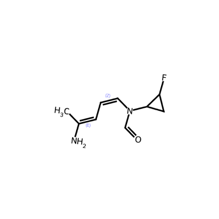 C/C(N)=C\C=C/N(C=O)C1CC1F